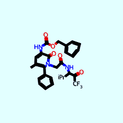 Cc1cc(NC(=O)OCc2ccccc2)c(=O)n(CC(=O)NC(C(=O)C(F)(F)F)C(C)C)c1-c1ccccc1